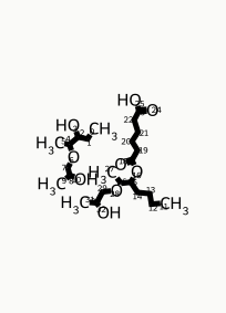 CCC(O)C(C)OCC(C)O.CCCCC(OC(=O)CCCCC(=O)O)C(C)OCC(C)O